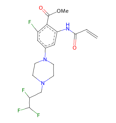 C=CC(=O)Nc1cc(N2CCN(CC(F)C(F)F)CC2)cc(F)c1C(=O)OC